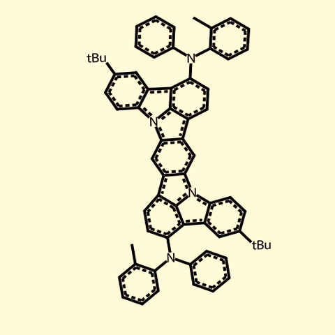 Cc1ccccc1N(c1ccccc1)c1ccc2c3cc4c(cc3n3c5ccc(C(C)(C)C)cc5c1c23)c1ccc(N(c2ccccc2)c2ccccc2C)c2c3cc(C(C)(C)C)ccc3n4c12